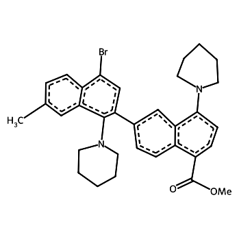 COC(=O)c1ccc(N2CCCCC2)c2cc(-c3cc(Br)c4ccc(C)cc4c3N3CCCCC3)ccc12